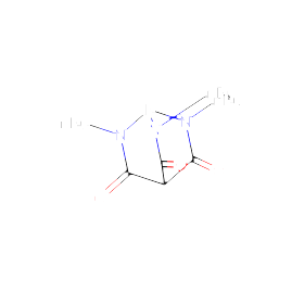 CCCCN1B2N(CCCC)C(=O)C(C1=O)C(=O)N2CCCC